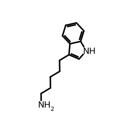 NCCCCCc1c[nH]c2ccccc12